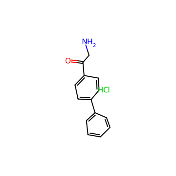 Cl.NCC(=O)c1ccc(-c2ccccc2)cc1